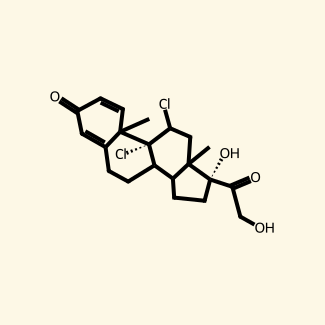 CC12C=CC(=O)C=C1CCC1C3CC[C@](O)(C(=O)CO)C3(C)CC(Cl)[C@@]12Cl